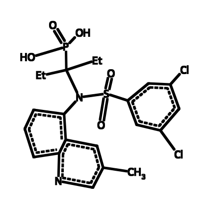 CCC(CC)(N(c1cccc2ncc(C)cc12)S(=O)(=O)c1cc(Cl)cc(Cl)c1)P(=O)(O)O